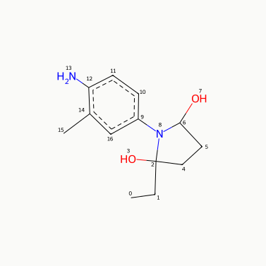 CCC1(O)CCC(O)N1c1ccc(N)c(C)c1